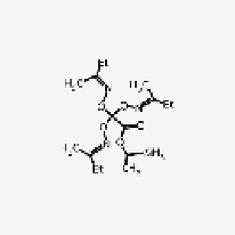 CCC(C)=NOC(ON=C(C)CC)(ON=C(C)CC)C(=O)OC(C)[SiH3]